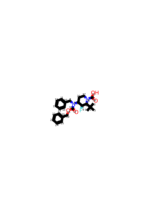 CC(C)(C)C1C(F)C(N(Cc2ccccc2)C(=O)OCc2ccccc2)CCN1C(=O)O